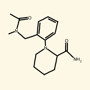 CC(=O)N(C)Cc1ccccc1N1CC[CH]CC1C(N)=O